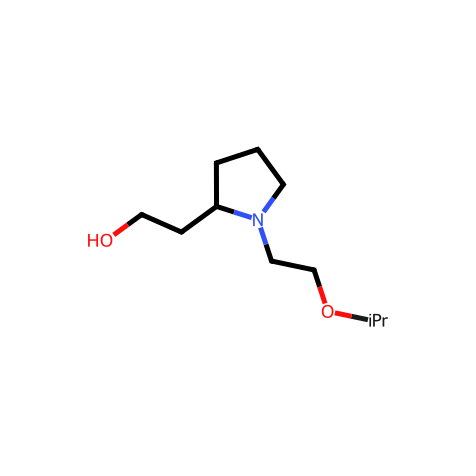 CC(C)OCCN1CCCC1CCO